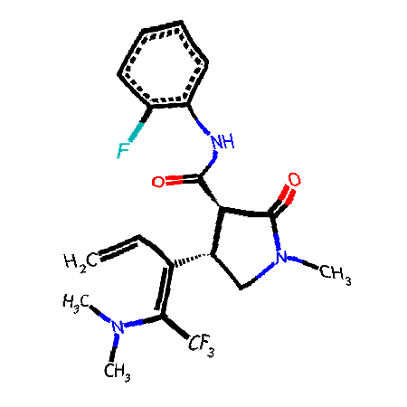 C=C/C(=C(\N(C)C)C(F)(F)F)[C@H]1CN(C)C(=O)[C@@H]1C(=O)Nc1ccccc1F